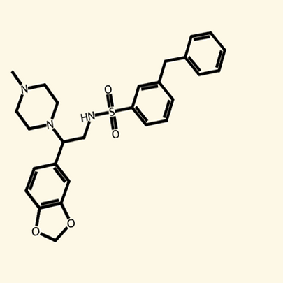 CN1CCN(C(CNS(=O)(=O)c2cccc(Cc3ccccc3)c2)c2ccc3c(c2)OCO3)CC1